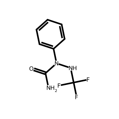 NC(=O)N(NC(F)(F)F)c1ccccc1